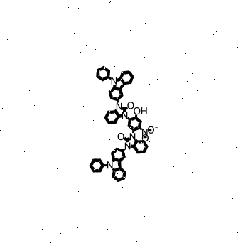 O=c1n(-c2ccc3c(c2)c2ccccc2n3-c2ccccc2)c2ccccc2n1-c1cc(-n2c(=O)n(-c3ccc4c(c3)c3ccccc3n4-c3ccccc3)c3ccccc32)c([N+](=O)[O-])cc1O